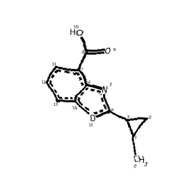 CC1CC1c1nc2c(C(=O)O)cccc2o1